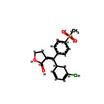 CS(=O)(=O)c1ccc(/C(=C2\CCOC2=O)C2C=CC=C(Cl)C2)cc1